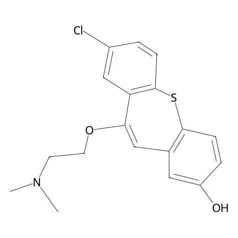 CN(C)CCOC1=Cc2cc(O)ccc2Sc2ccc(Cl)cc21